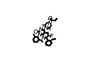 C=CC(=O)N1C[C@H](C)N(c2nc(=O)n(-c3c(C)cccc3CC)c3nc(-c4ccccc4C=C)c(F)cc23)[C@@H](C)C1